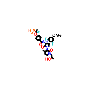 COc1cc(F)c([C@@H]2CN(c3c(C)ccn(CC(C)O)c3=O)C(=O)[C@H]2NC(=O)c2ccc(OC(C)(F)P)cc2)c(F)c1